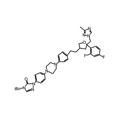 CCC(C)n1cnn(-c2ccc(N3CCN(c4ccc(CCC5COC(Cn6cnc(C)n6)(c6ccc(F)cc6F)C5)cc4)CC3)cc2)c1=O